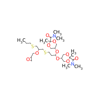 CCCSCC(CSCCC(OC1COC(C)(C(=O)N(C)C)OC1)OC1COC(C)(C(=O)N(C)C)OC1)OCC1CO1